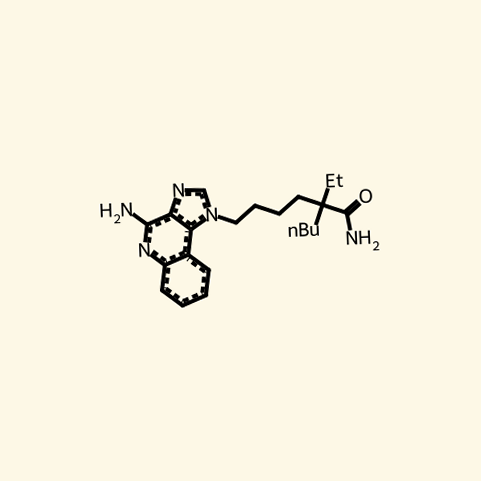 CCCCC(CC)(CCCCn1cnc2c(N)nc3ccccc3c21)C(N)=O